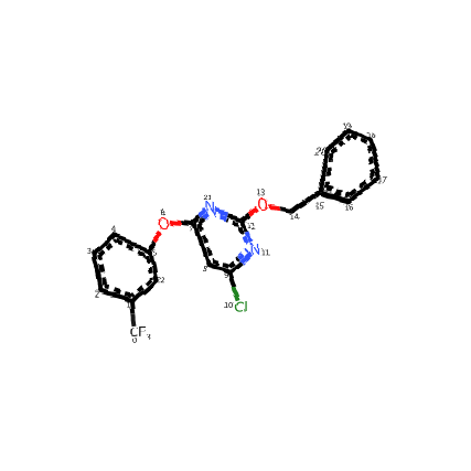 FC(F)(F)c1cccc(Oc2cc(Cl)nc(OCc3ccccc3)n2)c1